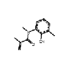 C=C(C)C(=O)N(C)c1cccc(C)c1C#N